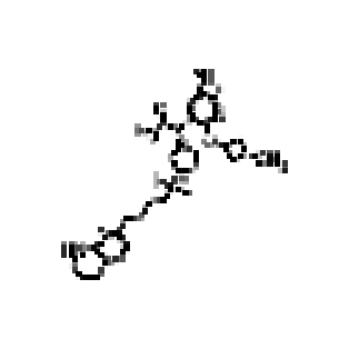 C[C@H]1C[C@@H](Oc2ncc(P)cc2C(C(=O)OI)N2CC[C@@H](C(F)(I)CCCCc3ccc4c(n3)NCCC4)C2)C1